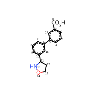 O=C(O)c1cccc(-c2cccc(C3CCON3)c2)c1